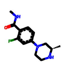 CNC(=O)c1ccc(N2CCN[C@@H](C)C2)cc1F